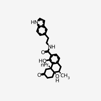 CCC[C@]12CC(=O)CC[C@@]1(O)[C@H](C)Cc1ccc(C(=O)NCCc3ccc4[nH]ccc4c3)c(O)c12